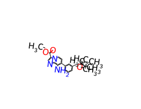 CCOC(=O)c1cnc2c(N)c(-c3cccc(CO[Si](C)(C)C(C)(C)C)c3)ccn12